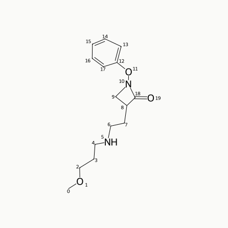 COCCCNCCC1CN(Oc2ccccc2)C1=O